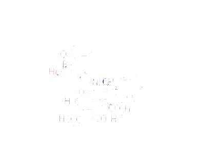 CC(C(=O)O)C(C(=O)O)C(C(=O)Nc1ccc2c(c1)B(O)OC2)C(C(=O)O)C(C)c1ccccc1